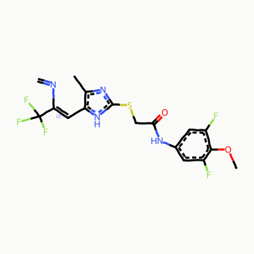 C=N/C(=C\c1[nH]c(SCC(=O)Nc2cc(F)c(OC)c(F)c2)nc1C)C(F)(F)F